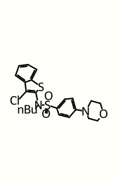 CCCCN(c1sc2ccccc2c1Cl)S(=O)(=O)c1ccc(N2CCOCC2)cc1